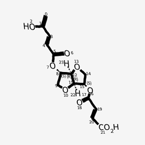 C=C(O)C=CC(=O)O[C@H]1CO[C@H]2[C@@H]1OC[C@@H]2OC(=O)C=CC(=O)O